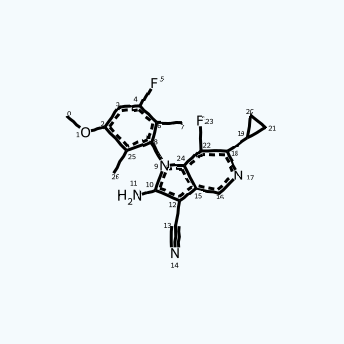 COc1cc(F)c(C)c(-n2c(N)c(C#N)c3cnc(C4CC4)c(F)c32)c1C